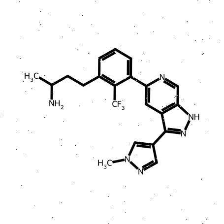 CC(N)CCc1cccc(-c2cc3c(-c4cnn(C)c4)n[nH]c3cn2)c1C(F)(F)F